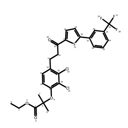 CCOC(=O)C(C)(C)Oc1ccc(CCC(=O)c2ccc(-c3cccc(C(F)(F)F)c3)s2)c(Cl)c1Cl